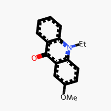 CCn1c2ccccc2c(=O)c2cc(OC)ccc21